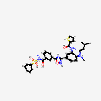 CC(C)CCN(C)c1ccc(-c2noc(-c3cccc(C(=O)NS(=O)(=O)c4ccccc4)c3)n2)cc1NC(=O)c1cccs1